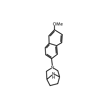 COc1ccc2cc(N3CC4CCC(C3)N4)ccc2c1